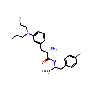 CCOC(=O)[C@H](Cc1ccc(F)cc1)NC(=O)[C@@H](N)Cc1cccc(N(CCCl)CCCl)c1